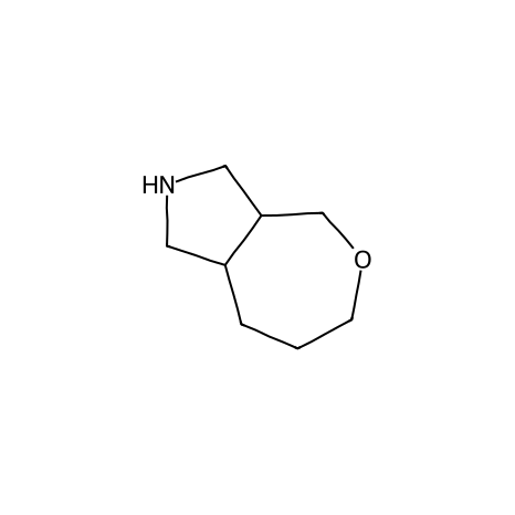 C1COCC2CNCC2C1